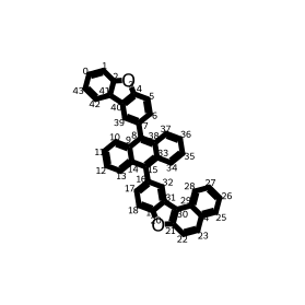 C1=CC2Oc3ccc(-c4c5ccccc5c(-c5ccc6oc7ccc8ccccc8c7c6c5)c5ccccc45)cc3C2C=C1